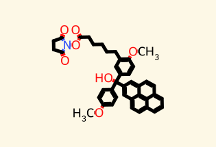 COc1ccc(C(O)(c2ccc(OC)c(CCCCCC(=O)ON3C(=O)CCC3=O)c2)c2cc3ccc4cccc5ccc(c2)c3c45)cc1